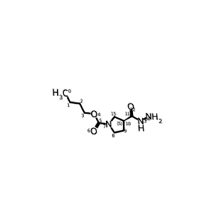 CCCCOC(=O)N1CC[C@H](C(=O)NN)C1